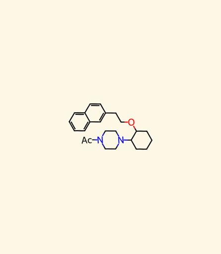 CC(=O)N1CCN(C2CCCCC2OCCc2ccc3ccccc3c2)CC1